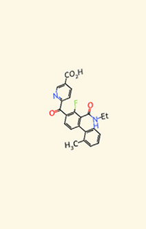 CCNC(=O)c1c(-c2ccccc2C)ccc(C(=O)c2ccc(C(=O)O)cn2)c1F